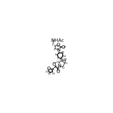 CC(=O)NC[C@H]1CN(c2ccc(C34CC3CN(C(=O)C(=O)c3ccco3)C4)cc2)C(=O)O1